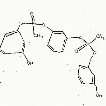 CP(=O)(Oc1cccc(O)c1)Oc1cccc(OP(C)(=O)Oc2cccc(O)c2)c1